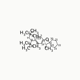 CCC1(Oc2ccc(C(CC(C)(C)C)C(C)(C)C)cc2)CCCCC1